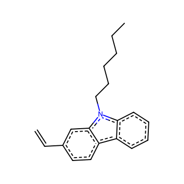 C=Cc1ccc2c3ccccc3n(CCCCCC)c2c1